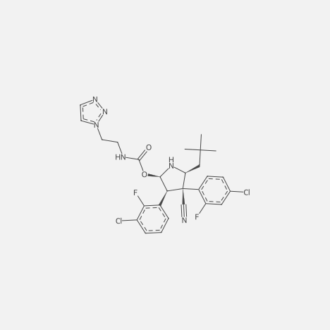 CC(C)(C)C[C@@H]1N[C@H](OC(=O)NCCn2ccnn2)[C@H](c2cccc(Cl)c2F)[C@@]1(C#N)c1ccc(Cl)cc1F